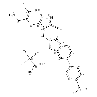 CN(C)c1ccc(-c2ccc3sc(Cn4c(CC(CN)=C(F)F)n[nH]c4=O)cc3c2)cn1.O=C(O)C(F)(F)F